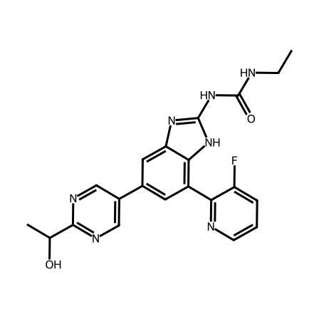 CCNC(=O)Nc1nc2cc(-c3cnc(C(C)O)nc3)cc(-c3ncccc3F)c2[nH]1